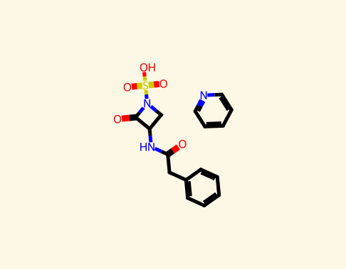 O=C(Cc1ccccc1)NC1CN(S(=O)(=O)O)C1=O.c1ccncc1